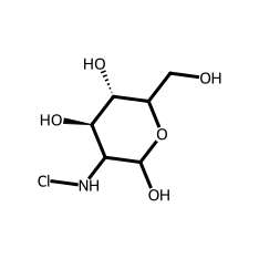 OCC1OC(O)C(NCl)[C@@H](O)[C@@H]1O